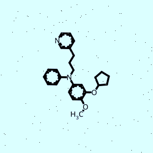 COc1ccc(N(CCCc2cccnc2)c2ccccc2)cc1OC1CCCC1